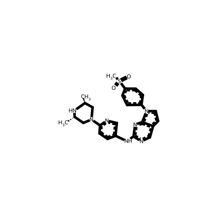 C[C@@H]1CN(c2ccc(Nc3ncc4ccn(-c5ccc(S(C)(=O)=O)cc5)c4n3)cn2)C[C@H](C)N1